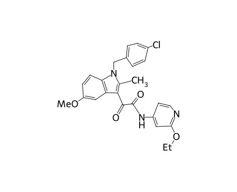 CCOc1cc(NC(=O)C(=O)c2c(C)n(Cc3ccc(Cl)cc3)c3ccc(OC)cc23)ccn1